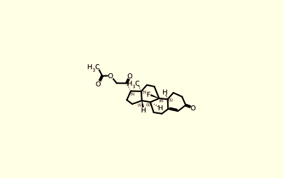 CC(=O)OCC(=O)[C@H]1CC[C@H]2[C@@H]3CCC4=CC(=O)CC[C@@H]4[C@@]3(F)CC[C@]12C